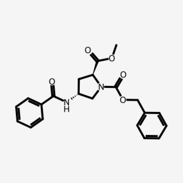 COC(=O)[C@@H]1C[C@@H](NC(=O)c2ccccc2)CN1C(=O)OCc1ccccc1